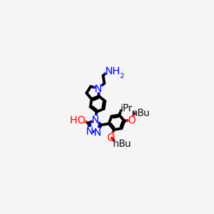 CCCCOc1cc(OCCCC)c(C(C)C)cc1-c1nnc(O)n1-c1ccc2c(c1)CCN2CCN